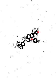 NS(=O)(=O)c1cc(C(=O)N2CC[C@@]3(S(=O)(=O)c4ccc(F)cc4)c4ccc(C(F)(C(F)(F)F)C(F)(F)F)cc4CC[C@@H]23)ccc1Cl